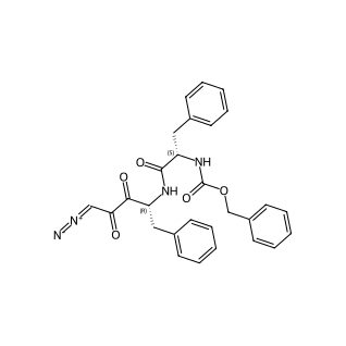 [N-]=[N+]=CC(=O)C(=O)[C@@H](Cc1ccccc1)NC(=O)[C@H](Cc1ccccc1)NC(=O)OCc1ccccc1